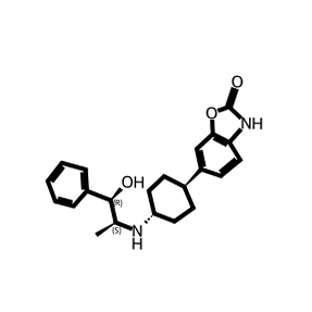 C[C@H](N[C@H]1CC[C@H](c2ccc3[nH]c(=O)oc3c2)CC1)[C@H](O)c1ccccc1